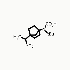 CC(N)C12CCC(N(C(=O)O)C(C)(C)C)(CC1)C2